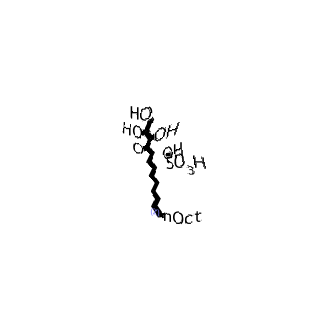 CCCCCCCC/C=C\CCCCCCCC(=O)C(O)C(O)CO.O=S(=O)(O)O